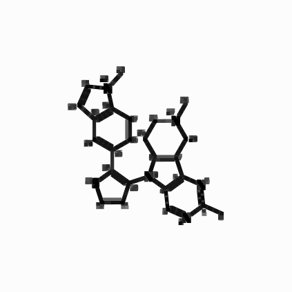 Cc1ncc2c(n1)c1c(n2-c2ccsc2-c2ccc3c(ccn3C)c2)CCN(C)C1